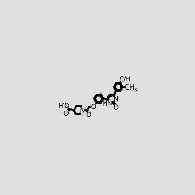 Cc1cc(-c2cc(-c3cccc(OCC(=O)N4CCC(C(=O)O)CC4)c3)[nH]c(=O)n2)ccc1O